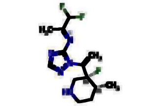 C=C(n1ncnc1/N=C(\C)C(F)F)[C@]1(F)CNCC[C@H]1C